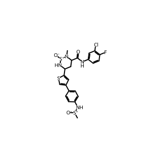 CN1C(C(=O)Nc2ccc(F)c(Cl)c2)CC(c2cc(-c3ccc(N[S+](C)[O-])cc3)cs2)N[S+]1[O-]